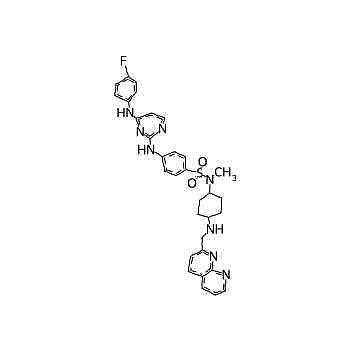 CN(C1CCC(NCc2ccc3cccnc3n2)CC1)S(=O)(=O)c1ccc(Nc2nccc(Nc3ccc(F)cc3)n2)cc1